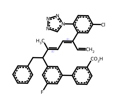 C=C/C(=C\C=C(/C)C(Cc1ccccc1)c1cc(F)cc(-c2cccc(C(=O)O)c2)c1)c1cc(Cl)ccc1-n1cnnn1